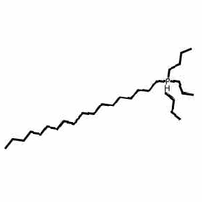 CCCCCCCCCCCCCCCCCC[PH](CCC)(CCCC)CCCC